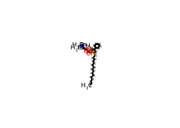 CCCCCCCCCCCCCCCCSCC(COP(=O)(O)OCC[N+](C)(C)C)c1ccccc1